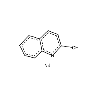 Oc1ccc2ccccc2n1.[Nd]